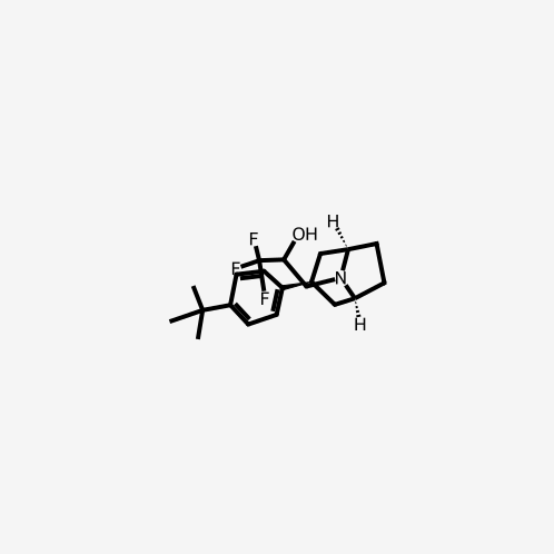 CC(C)(C)c1ccc([C@H]2C[C@H]3CC[C@@H](C2)N3CC(O)C(F)(F)F)cc1